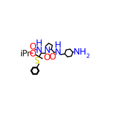 CC(C)OC(=O)NC(C(=O)N1CCCC1C(=O)NCC1CCC(N)CC1)C(C)(C)SCc1ccccc1